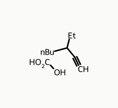 C#CC(CC)CCCC.O=C(O)O